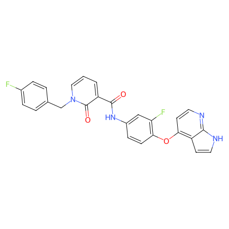 O=C(Nc1ccc(Oc2ccnc3[nH]ccc23)c(F)c1)c1cccn(Cc2ccc(F)cc2)c1=O